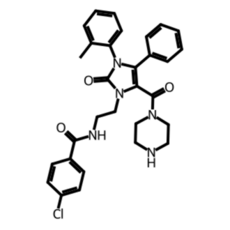 Cc1ccccc1-n1c(-c2ccccc2)c(C(=O)N2CCNCC2)n(CCNC(=O)c2ccc(Cl)cc2)c1=O